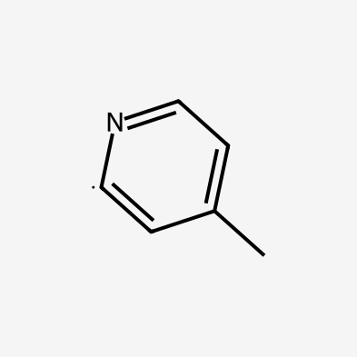 Cc1c[c]ncc1